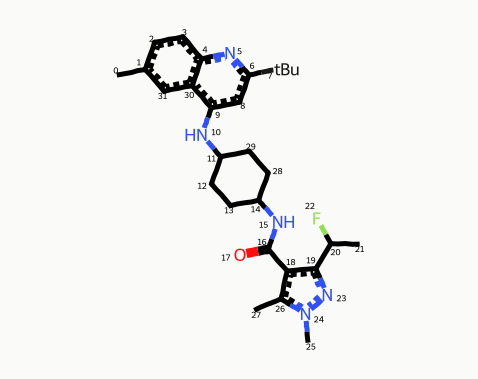 Cc1ccc2nc(C(C)(C)C)cc(NC3CCC(NC(=O)c4c(C(C)F)nn(C)c4C)CC3)c2c1